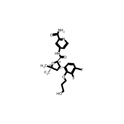 C[C@]1(C(F)(F)F)C[C@@H](c2ccc(F)c(F)c2OCCCO)[C@H](C(=O)Nc2ccnc(C(N)=O)c2)O1